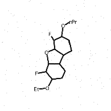 CCCOC1CCC2C3CCC(OCC)C(F)C3OC2C1F